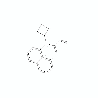 C=CC(=O)N(c1cccc2ncccc12)C1CCC1